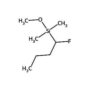 CCCC(F)[Si](C)(C)OC